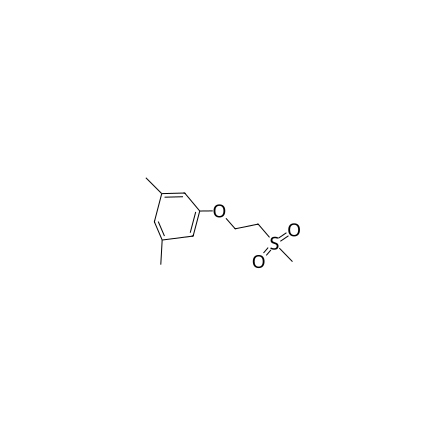 Cc1cc(C)cc(OCCS(C)(=O)=O)c1